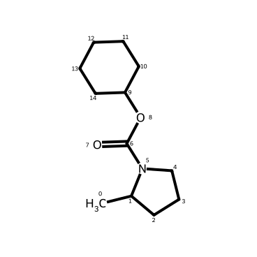 CC1CCCN1C(=O)OC1CCCCC1